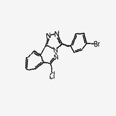 Clc1nn2c(-c3ccc(Br)cc3)nnc2c2ccccc12